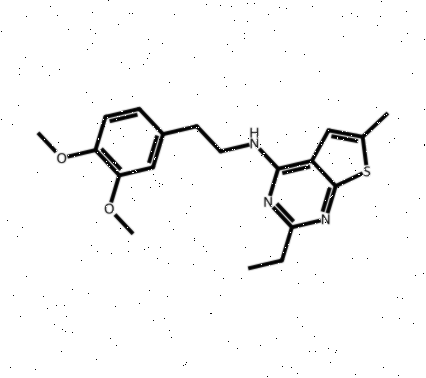 CCc1nc(NCCc2ccc(OC)c(OC)c2)c2cc(C)sc2n1